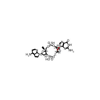 C#C[C@@]12COP(=O)(S)O[C@@H]3[C@@H](F)[C@@H](COP(=O)(O)O[C@H]1C[C@H](n1ccc4c(N)ccnc41)O2)O[C@H]3n1cnc2c(=O)[nH]c(N)nc21